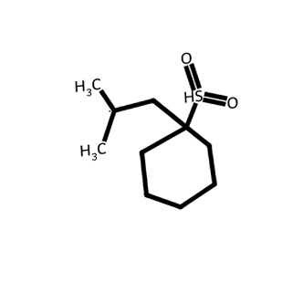 C[C](C)CC1([SH](=O)=O)CCCCC1